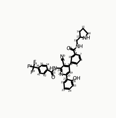 N#Cc1c(-c2cccc(C(=O)NCC3CCCN3)c2)cc(-c2ccccc2O)nc1NC(=O)c1ccc(C(F)(F)F)cc1